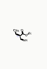 CCOC(=O)/C(C=N)=C\O